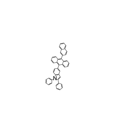 c1ccc(-c2cc3cc(-c4c5ccccc5c(-c5ccc6ccccc6c5)c5ccccc45)ccc3n2-c2ccccc2)cc1